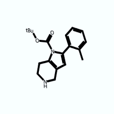 Cc1ccccc1-c1cc2c(n1C(=O)OC(C)(C)C)CCNC2